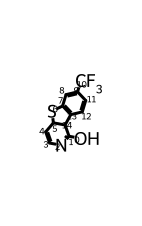 OC1=NC=CC2Sc3cc(C(F)(F)F)ccc3C12